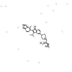 CN/N=C(\N)CN1CCC(c2ccc3[nH]c(-c4ccc5nncn5c4C)c(C(C)C)c3c2)CC1